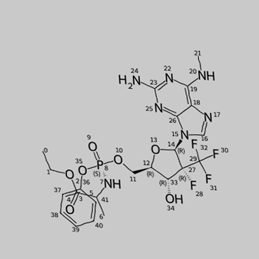 CCOC(=O)C(C)N[P@](=O)(OC[C@H]1O[C@@H](n2cnc3c(NC)nc(N)nc32)[C@@](F)(C(F)(F)F)[C@@H]1O)Oc1ccccc1